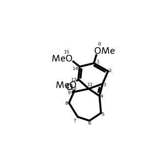 COC1=CC2=C3CCCCC(=O)C23C(OC)=C1OC